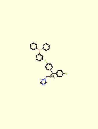 Fc1ccc(C([SiH2]Cn2cncn2)c2ccc(F)cc2)cc1.c1ccc(B(c2ccccc2)c2ccccc2)cc1